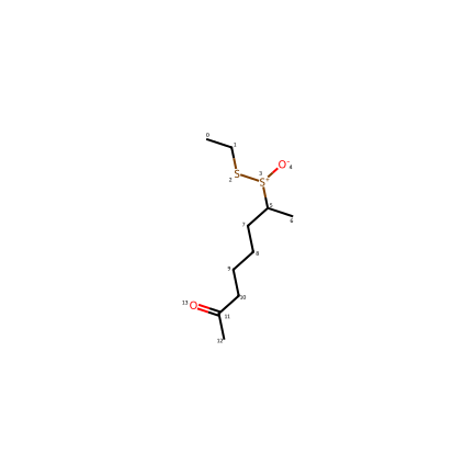 CCS[S+]([O-])C(C)CCCCC(C)=O